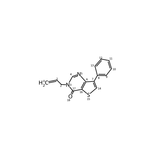 C=CCn1cnc2c(-c3ccccc3)csc2c1=O